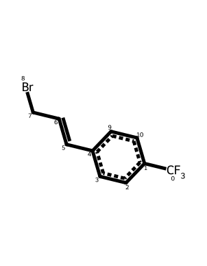 FC(F)(F)c1ccc(/C=C/CBr)cc1